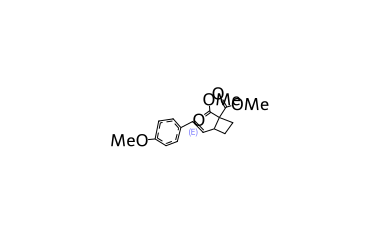 COC(=O)C1(C(=O)OC)CCC1/C=C/c1ccc(OC)cc1